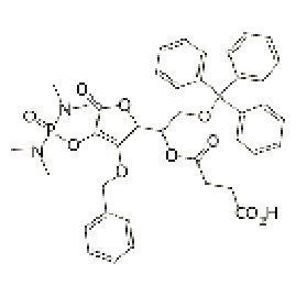 CN(C)P(=O)(OC1=C(OCc2ccccc2)C(C(COC(c2ccccc2)(c2ccccc2)c2ccccc2)OC(=O)CCC(=O)O)OC1=O)N(C)C